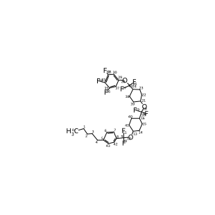 CCCCCc1ccc(C(F)(F)OC2CCC(C(F)(F)OC3CCC(C(F)(F)Oc4cc(F)c(F)c(F)c4)CC3)CC2)cc1